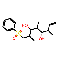 C=CC(C)[C@H](O)C(C)C(O)C(C)CS(=O)(=O)c1ccccc1